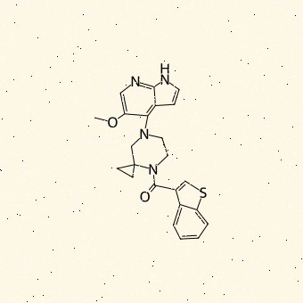 COc1cnc2[nH]ccc2c1N1CCN(C(=O)c2csc3ccccc23)C2(CC2)C1